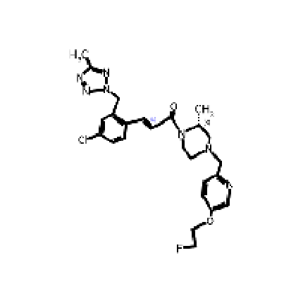 Cc1nnn(Cc2cc(Cl)ccc2/C=C/C(=O)N2CCN(Cc3ccc(OCCF)cn3)C[C@H]2C)n1